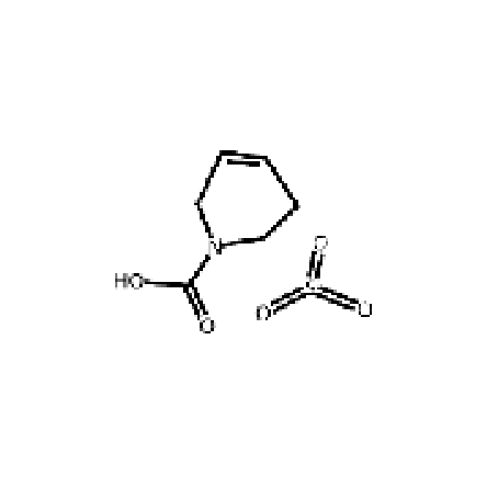 O=C(O)N1CC=CCC1.O=S(=O)=O